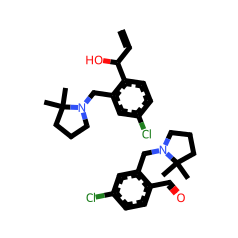 C=CC(O)c1ccc(Cl)cc1CN1CCCC1(C)C.CC1(C)CCCN1Cc1cc(Cl)ccc1C=O